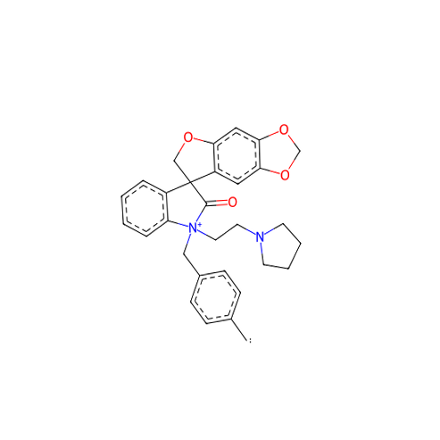 [CH]c1ccc(C[N+]2(CCN3CCCC3)C(=O)C3(COc4cc5c(cc43)OCO5)c3ccccc32)cc1